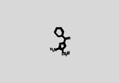 CCOC(=O)c1cc(C(=O)C2CCCCC2)sc1N